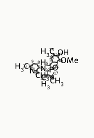 COc1cc(C(CNc2ccc(C)nc2C)P2(=O)C[C@@H](C)[C@@H](C)C2)cc(C)c1O